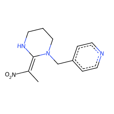 CC(=C1NCCCN1Cc1ccncc1)[N+](=O)[O-]